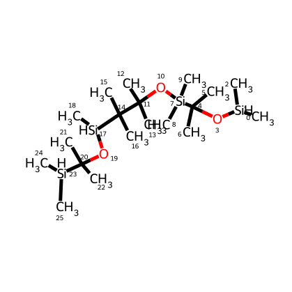 C[SiH](C)OC(C)(C)[Si](C)(C)OC(C)(C)C(C)(C)[SiH](C)OC(C)(C)[SiH](C)C